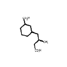 CC(CC(=O)O)CC1CCCC(C(=O)O)C1